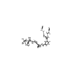 C#CCCCN(CCCC#C)c1cccc(SC/C(F)=C/CNC(=O)OC(C)(C)C)c1